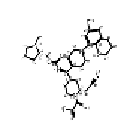 C=C(F)C(=O)N1CCN(c2nc(OC[C@@H]3CCCN3C)nc3c2CCN(c2cc(F)cc4c2SCCC4)C3)C[C@@H]1CC#N